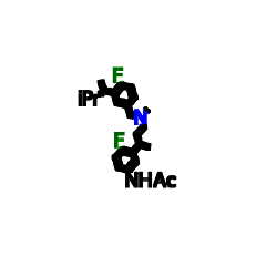 CC(=O)Nc1ccc(F)c(C(C)CCN(C)Cc2ccc(F)c(C(C)C(C)C)c2)c1